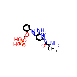 C[C@H](N)C(=O)Nc1ccc(/N=N/c2ccccc2OCOP(=O)(O)O)c(N)n1